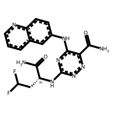 NC(=O)c1nnc(N[C@H](CC(F)F)C(N)=O)nc1Nc1ccc2ncccc2c1